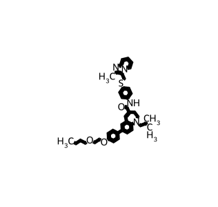 CCCCOCCOc1ccc(-c2ccc3c(c2)C=C(C(=O)Nc2ccc(SCc4c(C)nc5ccccn45)cc2)CCN3CC(C)C)cc1